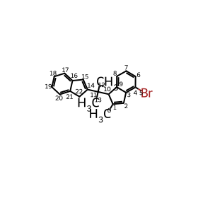 CC1=Cc2c(Br)cccc2C1C(C)(C)C1=Cc2ccccc2C1